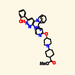 COC(=O)C1CCC(N2CCC(Oc3cc(CC4CC5CCC4CN(c4cc(-c6ccccc6O)nnc4N)C5)ccn3)CC2)CC1